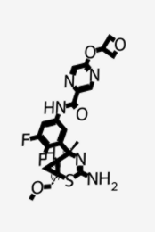 COC[C@]12C[C@H]1[C@](C)(c1cc(NC(=O)c3cnc(OC4COC4)cn3)cc(F)c1F)N=C(N)S2